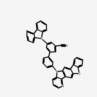 N#Cc1cc(-c2cccc(-n3c4cc5c(cc4c4ncccc43)oc3ccccc35)c2)cc(-n2c3ccccc3c3ccccc32)c1